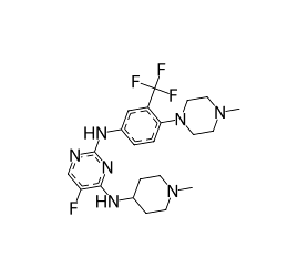 CN1CCC(Nc2nc(Nc3ccc(N4CCN(C)CC4)c(C(F)(F)F)c3)ncc2F)CC1